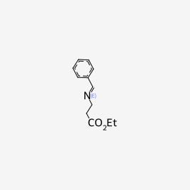 CCOC(=O)CC/N=C/c1ccccc1